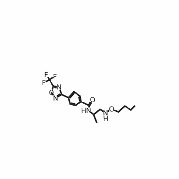 CCCCONCC(C)NC(=O)c1ccc(-c2noc(C(F)(F)F)n2)cc1